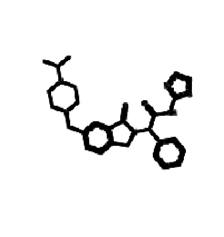 CC(C)N1CCN(Cc2ccc3c(c2)C(=O)N(C(C(=O)Nc2nccs2)c2ccccc2)C3)CC1